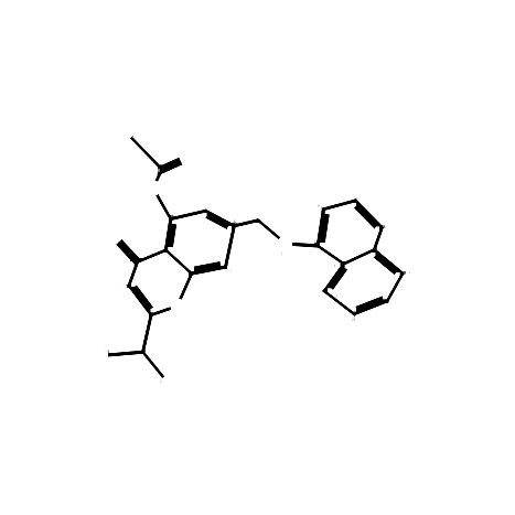 CC(=O)Oc1cc(COc2cccc3ccccc23)cc2oc(C(C)C)cc(=O)c12